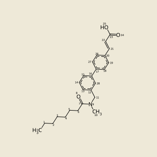 CCCCCCCC(=O)N(C)Cc1cccc(-c2ccc(/C=C/C(=O)O)cc2)c1